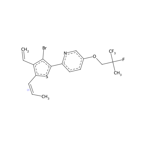 C=Cc1c(/C=C\C)sc(-c2ccc(OCC(C)(F)C(F)(F)F)cn2)c1Br